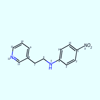 O=[N+]([O-])c1ccc(NCCc2cccnc2)cc1